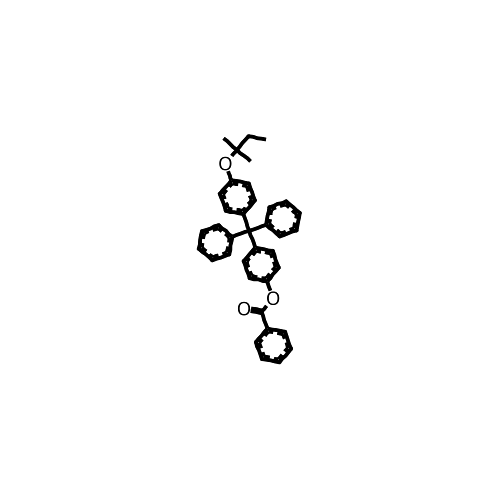 CCC(C)(C)Oc1ccc(C(c2ccccc2)(c2ccccc2)c2ccc(OC(=O)c3ccccc3)cc2)cc1